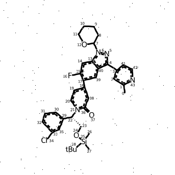 Cc1cc(-c2nn(C3CCCCO3)c3cc(F)c(-c4ccn([C@H](CO[Si](C)(C)C(C)(C)C)c5cccc(Cl)c5)c(=O)c4)cc23)ccn1